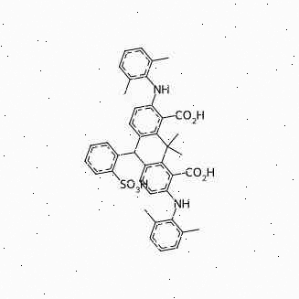 Cc1cccc(C)c1Nc1ccc2c(c1C(=O)O)C(C)(C)c1c(ccc(Nc3c(C)cccc3C)c1C(=O)O)C2c1ccccc1S(=O)(=O)O